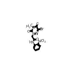 Cn1c(=O)c(Br)nn(CC(=O)Nc2ccccc2[N+](=O)[O-])c1=O